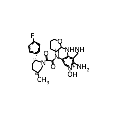 C[C@H]1CC[C@H](c2ccc(F)cc2)N(C(=O)C(=O)Nc2c[n+](O)c(N)c(C=N)c2NC2CCCCO2)C1